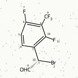 O=C[C@@H](Br)c1ccc(F)c(C(F)(F)F)c1F